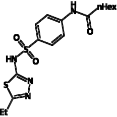 CCCCCCC(=O)Nc1ccc(S(=O)(=O)Nc2nnc(CC)s2)cc1